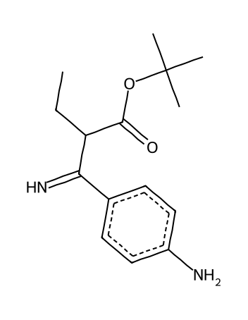 CCC(C(=N)c1ccc(N)cc1)C(=O)OC(C)(C)C